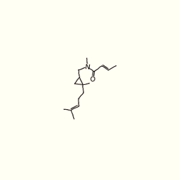 C/C=C/C(=O)N(C)CC1CC1(C)CCC=C(C)C